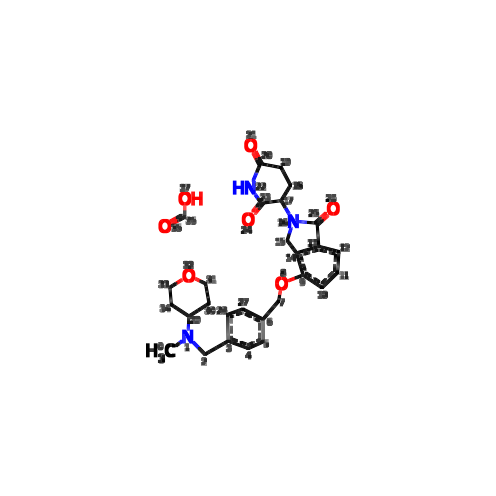 CN(Cc1ccc(COc2cccc3c2CN(C2CCC(=O)NC2=O)C3=O)cc1)C1CCOCC1.O=CO